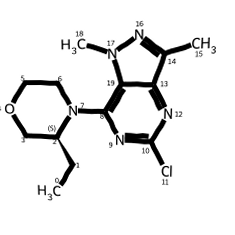 CC[C@H]1COCCN1c1nc(Cl)nc2c(C)nn(C)c12